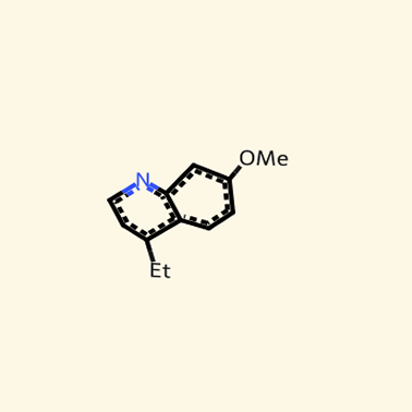 CCc1ccnc2cc(OC)ccc12